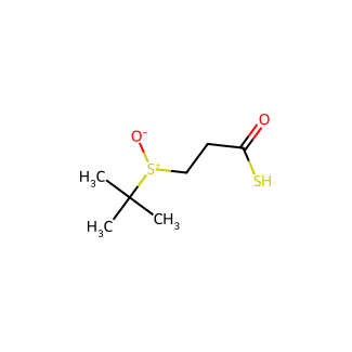 CC(C)(C)[S+]([O-])CCC(=O)S